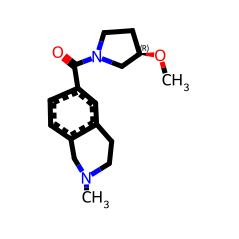 CO[C@@H]1CCN(C(=O)c2ccc3c(c2)CCN(C)C3)C1